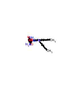 CCCCCCCCCCCCN(CCCCCCCCCCCC)CCCCCNC(=O)C12CC3CC(C(N)=O)(CC(C(N)=O)(C3)C1)C2